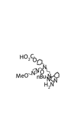 CCCCc1nc2c(N)nc3ccccc3c2n1CCCN(Cc1ccc(OCC(=O)O)cc1)C(=O)CN1CCN(CCOC)CC1